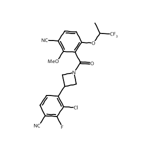 COc1c(C#N)ccc(OC(C)C(F)(F)F)c1C(=O)N1CC(c2ccc(C#N)c(F)c2Cl)C1